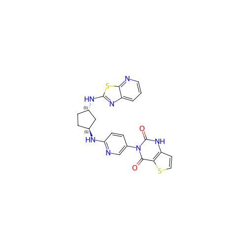 O=c1[nH]c2ccsc2c(=O)n1-c1ccc(N[C@H]2CC[C@H](Nc3nc4cccnc4s3)C2)nc1